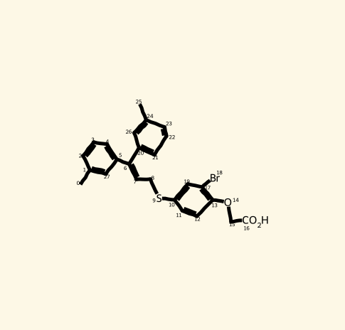 Cc1cccc(C(=CCSc2ccc(OCC(=O)O)c(Br)c2)c2cccc(C)c2)c1